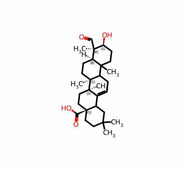 CC1(C)CC[C@]2(C(=O)O)CC[C@]3(C)C(=CCC4C5(C)CC[C@H](O)[C@](C)(C=O)[C@@H]5CC[C@@]43C)C2C1